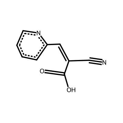 N#CC(=Cc1ccccn1)C(=O)O